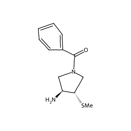 CS[C@H]1CN(C(=O)c2ccccc2)C[C@@H]1N